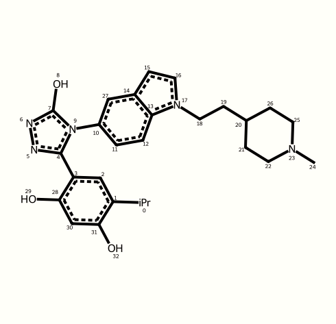 CC(C)c1cc(-c2nnc(O)n2-c2ccc3c(ccn3CCC3CCN(C)CC3)c2)c(O)cc1O